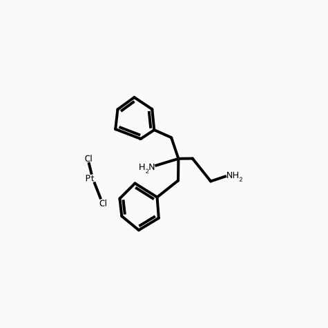 NCCC(N)(Cc1ccccc1)Cc1ccccc1.[Cl][Pt][Cl]